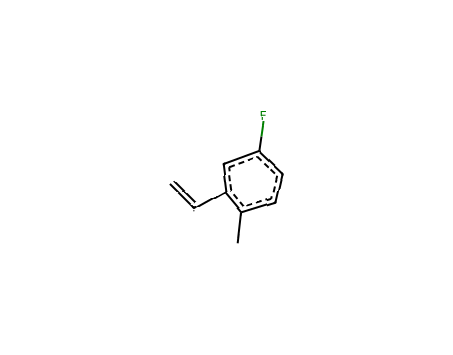 C=[C]c1cc(F)ccc1C